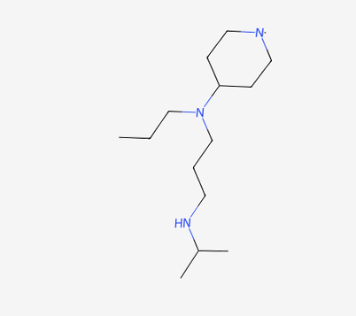 CCCN(CCCNC(C)C)C1CC[N]CC1